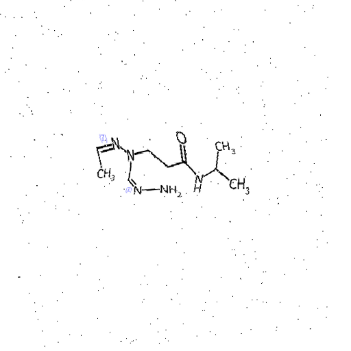 C/C=N\N(/C=N\N)CCC(=O)NC(C)C